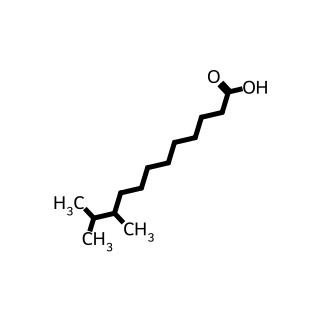 CC(C)C(C)CCCCCCCCC(=O)O